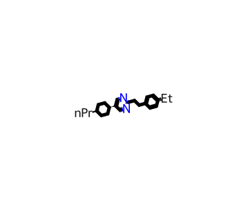 CCC[C@H]1CC[C@H](c2cnc(CCc3ccc(CC)cc3)nc2)CC1